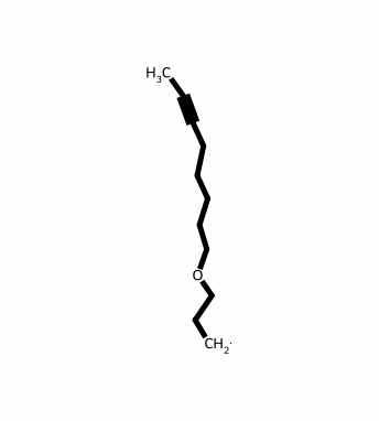 [CH2]CCOCCCCCC#CC